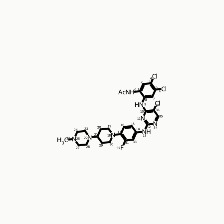 CC(=O)Nc1cc(Cl)c(Cl)cc1Nc1nc(Nc2ccc(N3CCC(N4CCN(C)CC4)CC3)c(F)c2)ncc1Cl